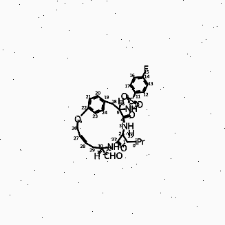 CC(C)C[C@@H]1NC(=O)[C@@H](NS(=O)(=O)c2ccc(F)cc2)Cc2ccc(cc2)OCC=CC[C@@H](C=O)NC1=O